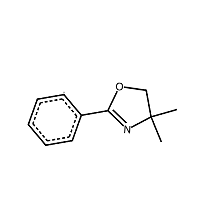 CC1(C)COC(c2[c]cccc2)=N1